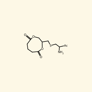 CC(=O)C(N)CSCC1COC(=O)CCCC(=O)O1